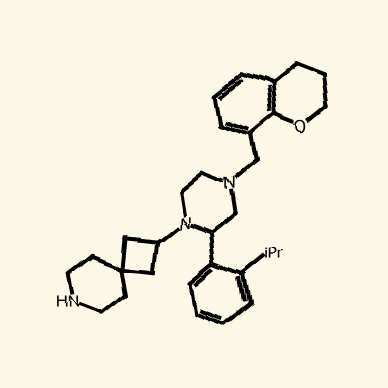 CC(C)c1ccccc1C1CN(Cc2cccc3c2OCCC3)CCN1C1CC2(CCNCC2)C1